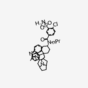 CCCN(C(=O)c1ccc(Cl)c(S(N)(=O)=O)c1)C1CCC(CCN2C3CCC2CC(n2c(C)nc4ccccc42)CC3)(c2ccccc2)CC1